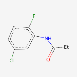 CCC(=O)Nc1cc(Cl)ccc1F